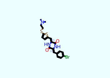 CN(C)CCSc1ccc(/C=c2\[nH]c(=O)/c(=C/c3ccc(Br)cc3)[nH]c2=O)s1